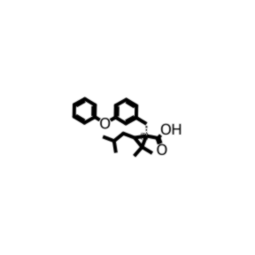 CC(C)CC1C(C)(C)[C@]1(Cc1cccc(Oc2ccccc2)c1)C(=O)O